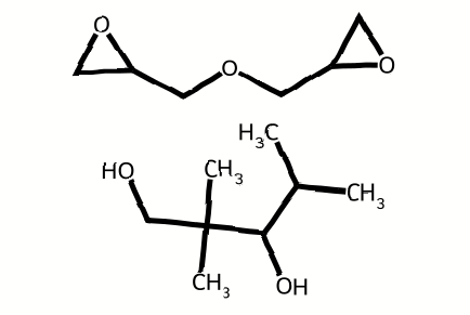 C(OCC1CO1)C1CO1.CC(C)C(O)C(C)(C)CO